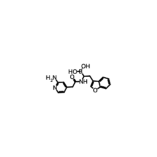 Nc1cc(CC(=O)NC(Cc2coc3ccccc23)B(O)O)ccn1